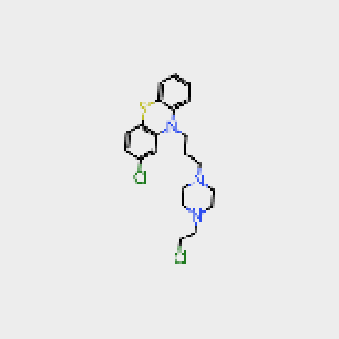 ClCCN1CCN(CCCN2c3ccccc3Sc3ccc(Cl)cc32)CC1